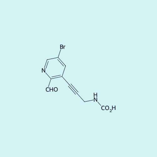 O=Cc1ncc(Br)cc1C#CCNC(=O)O